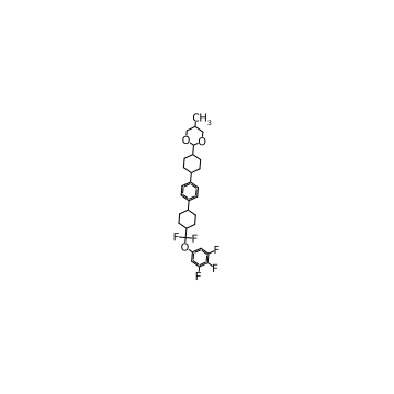 CC1COC(C2CCC(c3ccc(C4CCC(C(F)(F)Oc5cc(F)c(F)c(F)c5)CC4)cc3)CC2)OC1